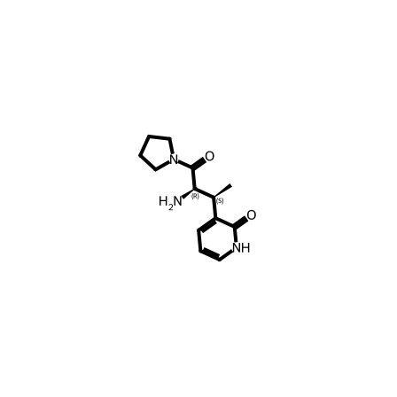 C[C@@H](c1ccc[nH]c1=O)[C@@H](N)C(=O)N1CCCC1